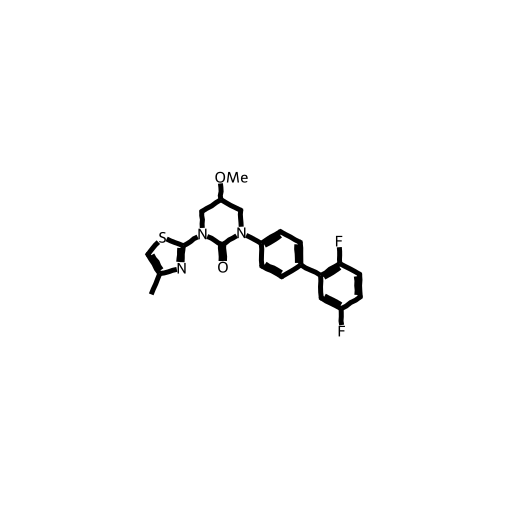 COC1CN(c2ccc(-c3cc(F)ccc3F)cc2)C(=O)N(c2nc(C)cs2)C1